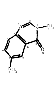 Cn1cnc2ccc(N)cc2c1=O